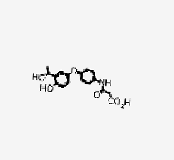 CC(O)c1cc(Oc2ccc(NC(=O)CC(=O)O)cc2)ccc1O